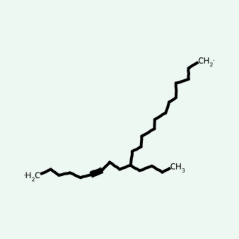 [CH2]CCCCC#CCCC(CCCC)CCCCCCCCCCC[CH2]